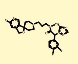 CN(CCCN1CCC2(CC1)OCc1cc(F)ncc12)C(=O)C(c1ccc(F)c(F)c1)n1cncn1